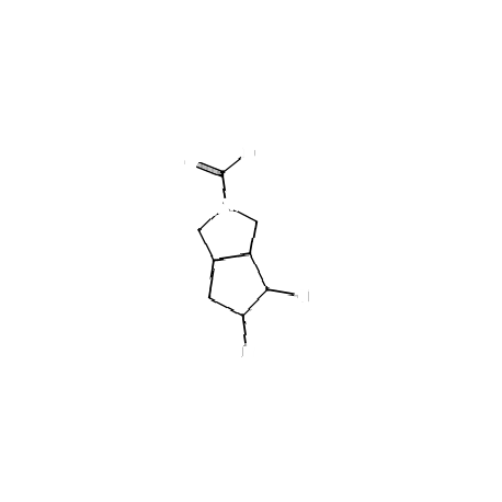 CCC(=O)N1CC2CC(CC)C(C)C2C1